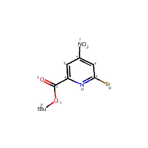 CC(C)(C)OC(=O)c1cc([N+](=O)[O-])cc(Br)n1